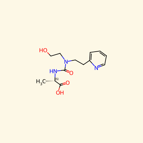 C[C@H](NC(=O)N(CCO)CCc1ccccn1)C(=O)O